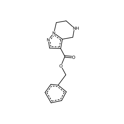 O=C(OCc1ccccc1)c1cnn2c1CNCC2